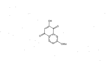 COc1ccc2c(c1)C(=O)C(O)=CC2=O